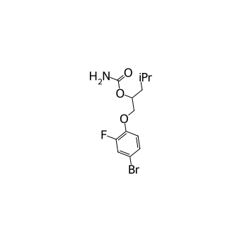 CC(C)CC(COc1ccc(Br)cc1F)OC(N)=O